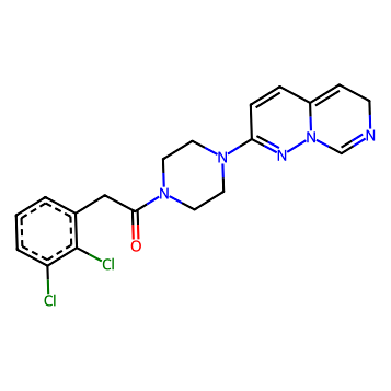 O=C(Cc1cccc(Cl)c1Cl)N1CCN(C2=NN3C=NCC=C3C=C2)CC1